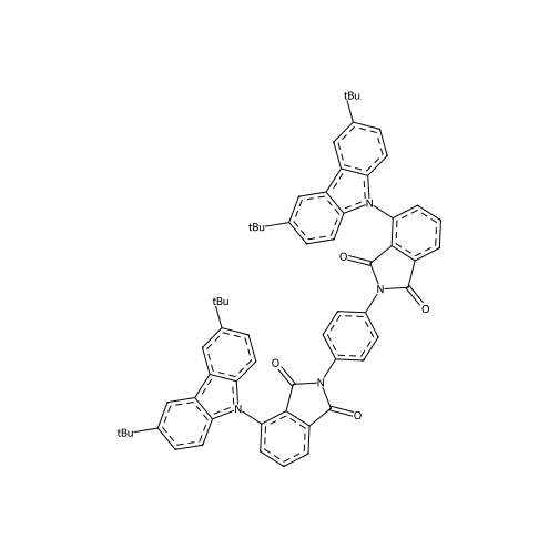 CC(C)(C)c1ccc2c(c1)c1cc(C(C)(C)C)ccc1n2-c1cccc2c1C(=O)N(c1ccc(N3C(=O)c4cccc(-n5c6ccc(C(C)(C)C)cc6c6cc(C(C)(C)C)ccc65)c4C3=O)cc1)C2=O